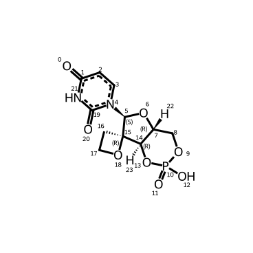 O=c1ccn([C@H]2O[C@@H]3COP(=O)(O)O[C@H]3[C@]23CCO3)c(=O)[nH]1